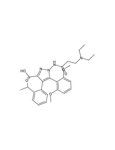 CCN(CC)CCC(=O)Nn1nc(C(=O)O)c(-c2ccccc2C(C)C)c1-c1c(OC)cccc1OC